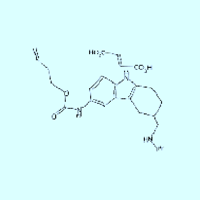 C=CCCOC(=O)Nc1ccc2[nH]c3c(c2c1)CC(CNC(C)C)CC3.O=C(O)C=CC(=O)O